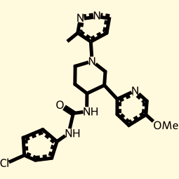 COc1ccc(C2CN(c3ccnnc3C)CCC2NC(=O)Nc2ccc(Cl)cc2)nc1